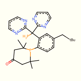 CC(C)(C)Cc1ccc(P2C(C)(C)CC(=O)CC2(C)C)c(C(P)(c2ncccn2)c2ncccn2)c1